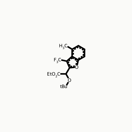 CCOC(=O)C(OC(C)(C)C)c1oc2cccc(C)c2c1C(F)(F)F